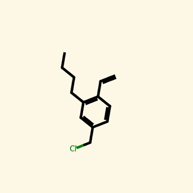 C=Cc1ccc(CCl)cc1CCCC